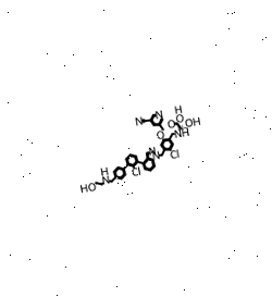 N#Cc1cncc(COc2cc(Cn3ncc4c(-c5cccc(-c6ccc(CNCCO)cc6)c5Cl)cccc43)c(Cl)cc2CN[C@@H](CO)C(=O)O)c1